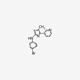 Cc1sc(Nc2ccc(Br)cc2)nc1-c1cccnc1